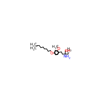 CCC(N)(CO)CCc1ccc(OCCCCCCCC(C)C)cc1OC